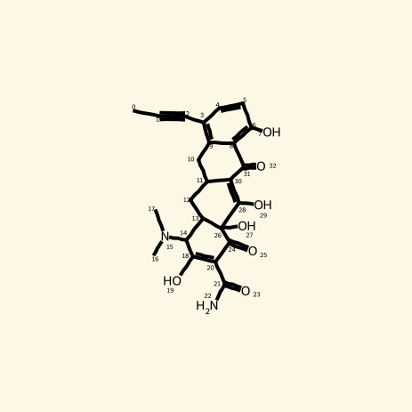 CC#Cc1ccc(O)c2c1CC1CC3C(N(C)C)C(O)=C(C(N)=O)C(=O)C3(O)C(O)=C1C2=O